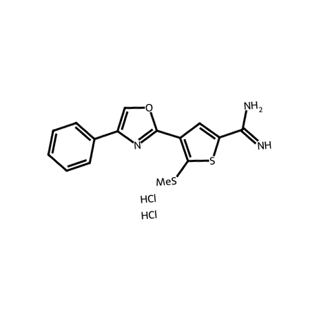 CSc1sc(C(=N)N)cc1-c1nc(-c2ccccc2)co1.Cl.Cl